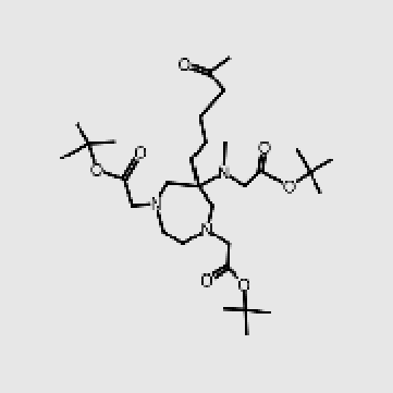 CC(=O)CCCCC1(N(C)CC(=O)OC(C)(C)C)CN(CC(=O)OC(C)(C)C)CCN(CC(=O)OC(C)(C)C)C1